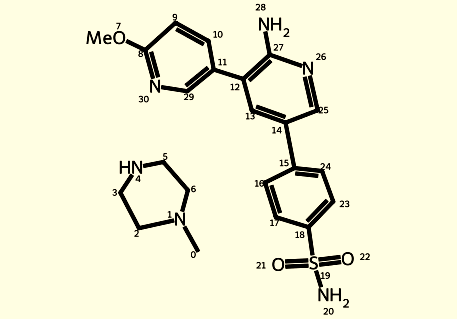 CN1CCNCC1.COc1ccc(-c2cc(-c3ccc(S(N)(=O)=O)cc3)cnc2N)cn1